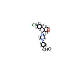 O=[C]c1ccc(N2CCN(CC3=C(c4ccc(Cl)cc4)CCOC3)CC2)cc1